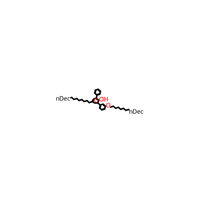 CCCCCCCCCCCCCCCCCCOc1cccc(-c2c(O)c(-c3ccccc3)c3c(CCCCCCCCCCCCCCCCCC)c2O3)c1